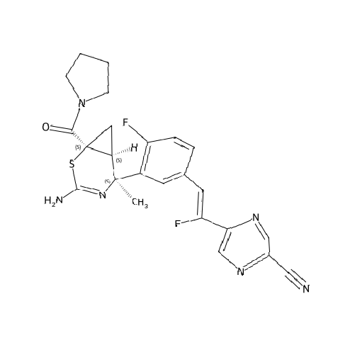 C[C@]1(c2cc(C=C(F)c3cnc(C#N)cn3)ccc2F)N=C(N)S[C@@]2(C(=O)N3CCCC3)C[C@H]21